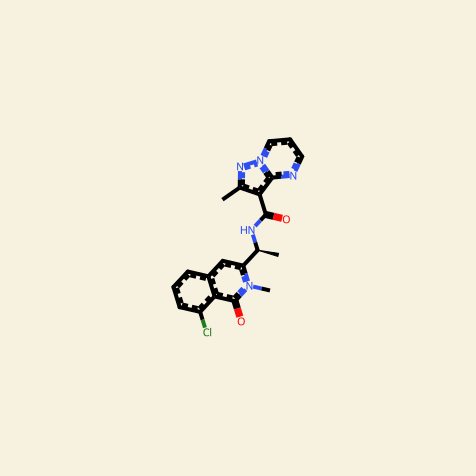 Cc1nn2cccnc2c1C(=O)N[C@@H](C)c1cc2cccc(Cl)c2c(=O)n1C